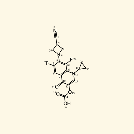 N#CC1CN(c2c(F)cc3c(=O)c(OC(=O)O)cn(C4CC4)c3c2F)C1